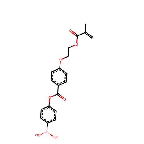 C=C(C)C(=O)OCCOc1ccc(C(=O)Oc2ccc(B(O)O)cc2)cc1